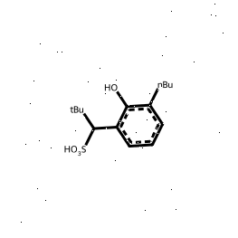 CCCCc1cccc(C(C(C)(C)C)S(=O)(=O)O)c1O